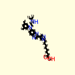 Cc1cc(C)cc(N(CCNC(C)C)c2ccc3ncc(-c4cnn(CCCCCCCC(=O)O)c4)nc3c2)c1